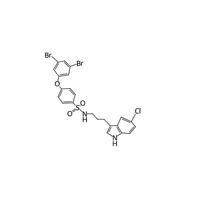 O=S(=O)(NCCCc1c[nH]c2ccc(Cl)cc12)c1ccc(Oc2cc(Br)cc(Br)c2)cc1